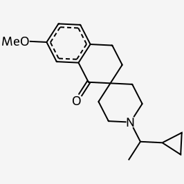 COc1ccc2c(c1)C(=O)C1(CC2)CCN(C(C)C2CC2)CC1